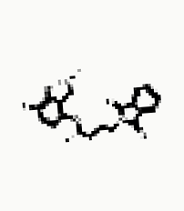 CCNCc1c(O[C@@H](C)CCCN2C(=O)c3ccccc3C2=O)ccc(F)c1Br